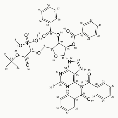 COP(=O)(OC)C(OCC1O[C@@H](n2cnc3c(N(C(=O)c4ccccc4)C(=O)c4ccccc4)nc(I)nc32)[C@H](OC(=O)c2ccccc2)[C@@H]1OC(=O)c1ccccc1)C(=O)OC(C)(C)C